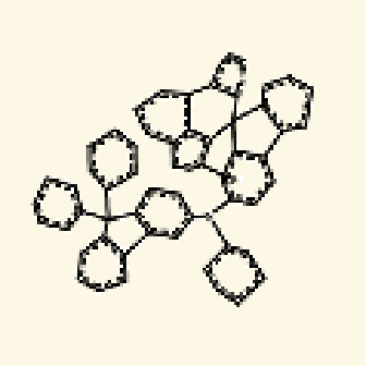 CCc1ccc2cccc3c2c1C1(c2ccccc2-c2ccc(N(c4ccccc4)c4ccc5c(c4)-c4ccccc4C5(c4ccccc4)c4ccccc4)cc21)c1ccccc1-3